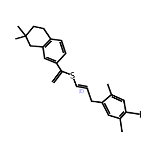 C=C(S/C=C/Cc1cc(C)c(I)cc1C)c1ccc2c(c1)CC(C)(C)CC2